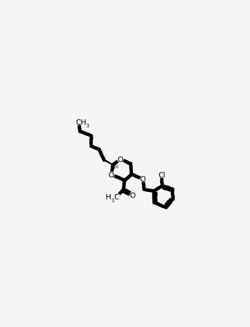 CCCCCC[C@H]1OCC(OCc2ccccc2Cl)C(C(C)=O)O1